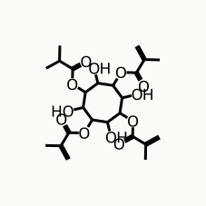 C=C(C)C(=O)OC1C(O)C(OC(=O)C(=C)C)C(O)C(OC(=O)C(C)C)C(O)C(OC(=O)C(=C)C)C1O